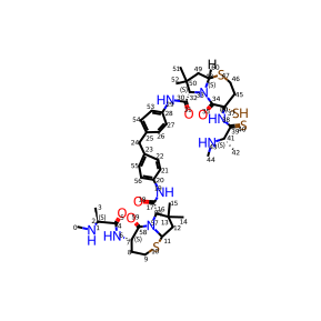 CN[C@@H](C)C(=O)N[C@H]1CCSC2CC(C)(C)[C@@H](C(=O)Nc3ccc(Cc4ccc(NC(=O)[C@H]5N6C(=O)[C@](S)(NC(=S)[C@H](C)NC)CCS[C@H]6CC5(C)C)cc4)cc3)N2C1=O